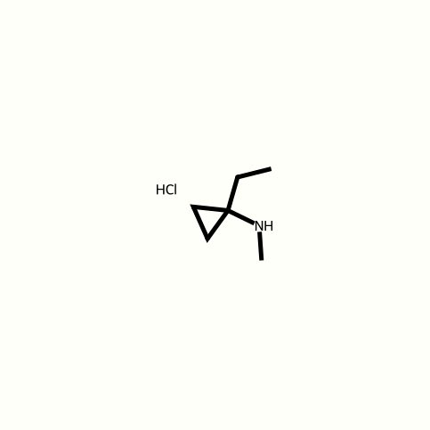 CCC1(NC)CC1.Cl